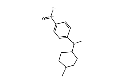 CN1CCC(N(C)c2ccc([N+](=O)[O-])cc2)CC1